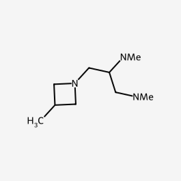 CNCC(CN1CC(C)C1)NC